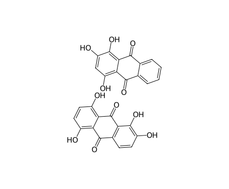 O=C1c2ccc(O)c(O)c2C(=O)c2c(O)ccc(O)c21.O=C1c2ccccc2C(=O)c2c(O)c(O)cc(O)c21